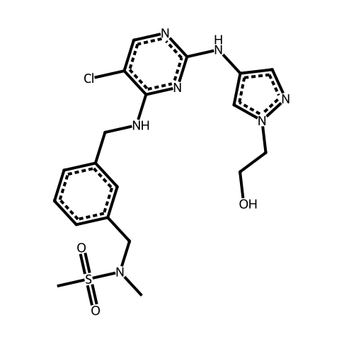 CN(Cc1cccc(CNc2nc(Nc3cnn(CCO)c3)ncc2Cl)c1)S(C)(=O)=O